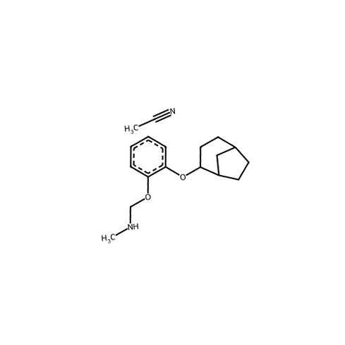 CC#N.CNCOc1ccccc1OC1CCC2CCC1C2